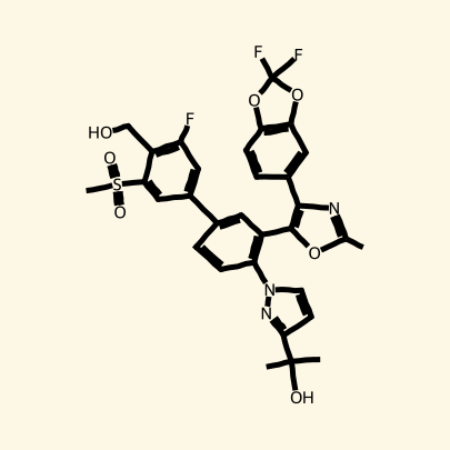 Cc1nc(-c2ccc3c(c2)OC(F)(F)O3)c(-c2cc(-c3cc(F)c(CO)c(S(C)(=O)=O)c3)ccc2-n2ccc(C(C)(C)O)n2)o1